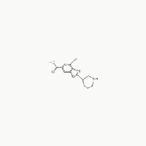 COC(=O)c1cc(Br)c2[nH]c(C3CCCNC3)cc2c1